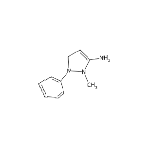 CN1C(N)=CCN1c1ccccc1